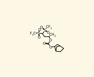 CC(CC(S(=O)(=O)C(F)(F)F)S(=O)(=O)C(F)(F)F)OC(=O)OC1CC2CCC1C2